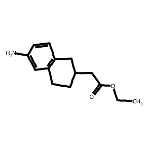 CCOC(=O)CC1CCc2cc(N)ccc2C1